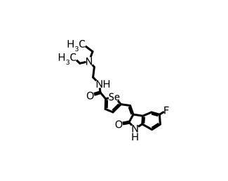 CCN(CC)CCNC(=O)c1ccc(/C=C2\C(=O)Nc3ccc(F)cc32)[se]1